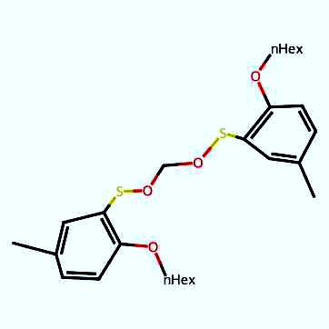 CCCCCCOc1ccc(C)cc1SOCOSc1cc(C)ccc1OCCCCCC